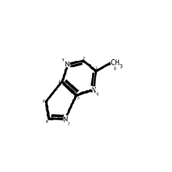 Cc1cnc2c(n1)N=CC2